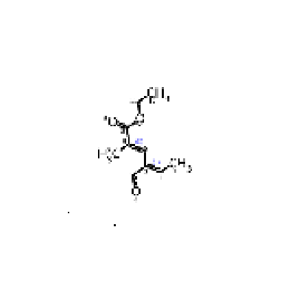 C/C=C(C=O)\C=C(/C)C(=O)OCC